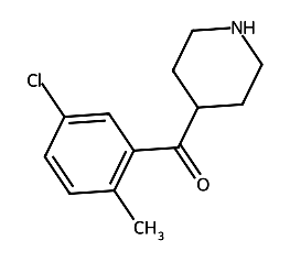 Cc1ccc(Cl)cc1C(=O)C1CCNCC1